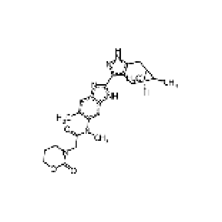 Cc1cc2nc(-c3n[nH]c4c3C[C@@H]3[C@H](C)[C@]3(C)C4)[nH]c2cc1N(C)C(=O)CN1CCCOC1=O